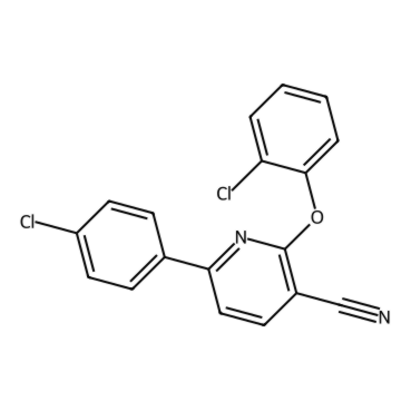 N#Cc1ccc(-c2ccc(Cl)cc2)nc1Oc1ccccc1Cl